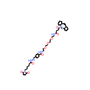 O=C(CCC(=O)N1Cc2ccccc2C#Cc2ccccc21)NCCOCCOCCOCCNC(=O)c1ccc(/C=N/NC(=O)CCCCCN2C(=O)C=CC2=O)cc1